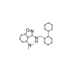 CN(C)c1cccc2onc(NCc3ccccc3-c3ccccc3)c12